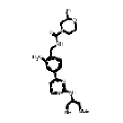 CN/C=C(\C=N)Nc1nccc(-c2ccc(CNC(=O)N3CCOC(C(C)C)C3)c(C)c2)n1